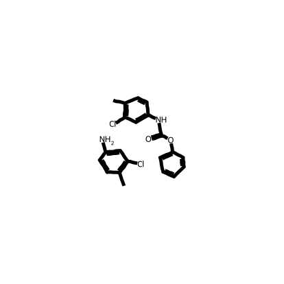 Cc1ccc(N)cc1Cl.Cc1ccc(NC(=O)Oc2ccccc2)cc1Cl